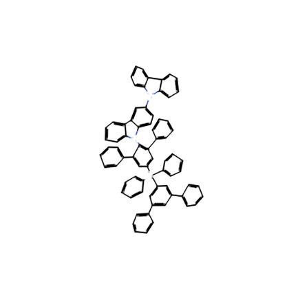 c1ccc(-c2cc(-c3ccccc3)cc([Si](c3ccccc3)(c3ccccc3)c3cc(-c4ccccc4)c(-n4c5ccccc5c5cc(-n6c7ccccc7c7ccccc76)ccc54)c(-c4ccccc4)c3)c2)cc1